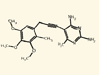 COc1cc(CC#Cc2c(C)nc(N)nc2N)c(C)c(OC)c1OC